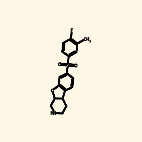 Cc1cc(S(=O)(=O)c2ccc3c(c2)OC2CNCCC32)ccc1F